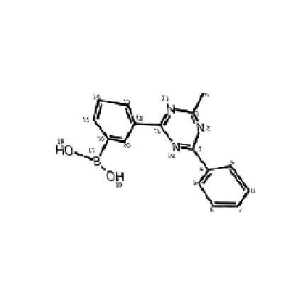 Cc1nc(-c2ccccc2)nc(-c2cccc(B(O)O)c2)n1